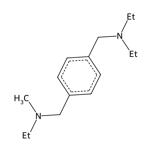 CCN(C)Cc1ccc(CN(CC)CC)cc1